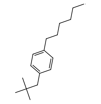 [CH2]CCCCCc1ccc(CC(C)(C)C)cc1